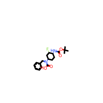 CC(C)(C)OC(=O)N[C@@H]1CC[C@@H](N(Cc2ccccc2)C(=O)O)C[C@@H]1F